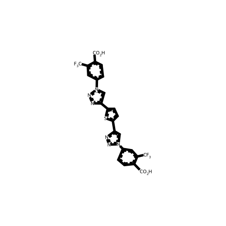 O=C(O)c1ccc(-n2cc(-c3ccc(-c4cn(-c5ccc(C(=O)O)c(C(F)(F)F)c5)nn4)s3)nn2)cc1C(F)(F)F